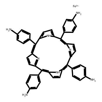 Nc1ccc(-c2c3nc(c(-c4ccc(N)cc4)c4ccc([nH]4)c(-c4ccc(N)cc4)c4nc(c(-c5ccc(N)cc5)c5ccc2[nH]5)C=C4)C=C3)cc1.[Fe+3]